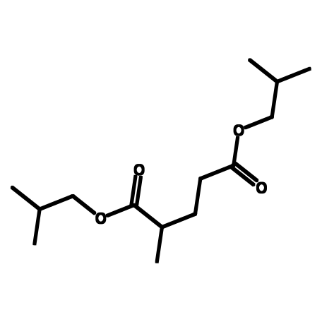 CC(C)COC(=O)CCC(C)C(=O)OCC(C)C